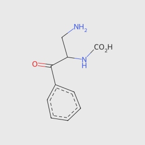 NCC(NC(=O)O)C(=O)c1ccccc1